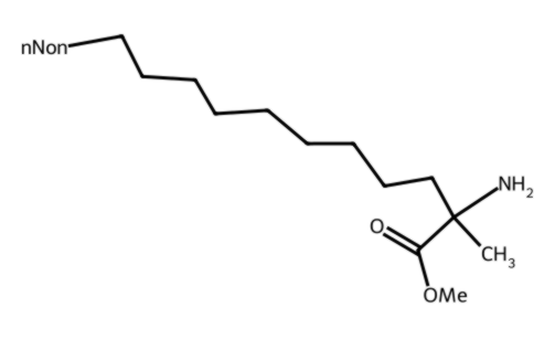 CCCCCCCCCCCCCCCCCCC(C)(N)C(=O)OC